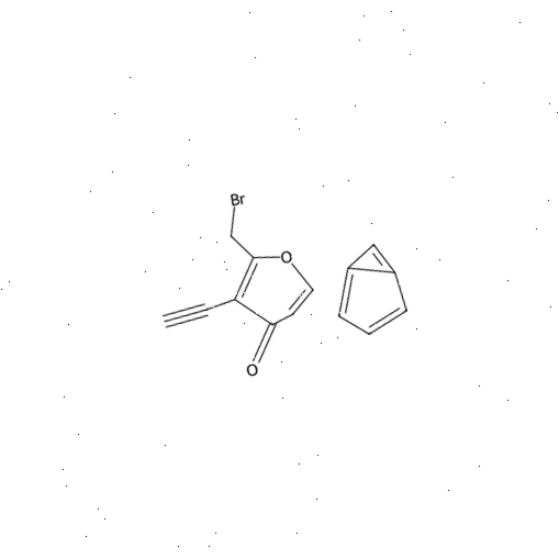 C#Cc1c(CBr)occc1=O.c1cc2cc-2c1